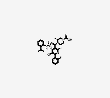 CC(C)c1ccccc1NS(=O)(=O)N=C(c1cc(Cl)c(-c2ccccc2F)nc1Cl)N1CCN(C(=O)O)C[C@@H]1C